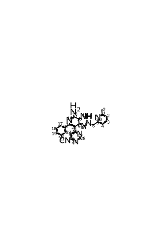 Cc1cccc(CN/N=C2\C(=N)C(N)=NC(c3cccc(C#N)c3)=C2c2ccncn2)n1